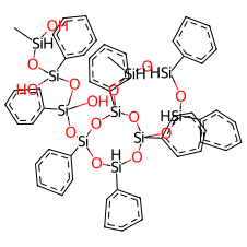 C[SiH](O)O[Si](O)(O[Si](O)(O[Si]1(c2ccccc2)O[SiH](c2ccccc2)O[Si]2(c3ccccc3)O[SiH](c3ccccc3)O[SiH](c3ccccc3)O[SiH](C)O[Si](c3ccccc3)(O2)O1)c1ccccc1)c1ccccc1